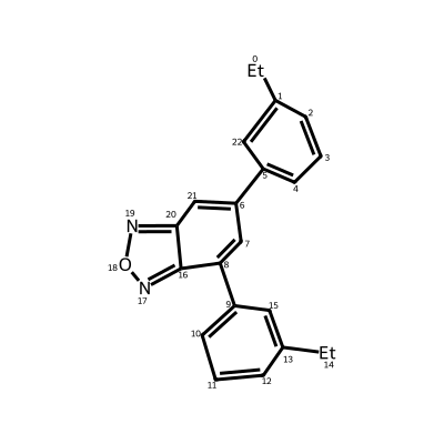 CCc1cccc(-c2cc(-c3cccc(CC)c3)c3nonc3c2)c1